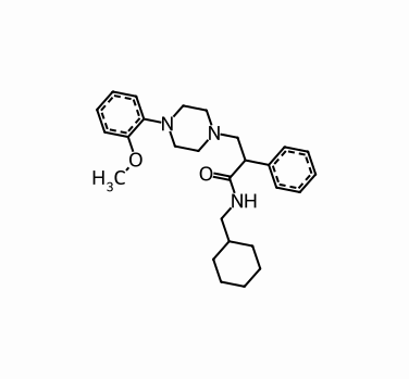 COc1ccccc1N1CCN(CC(C(=O)NCC2CCCCC2)c2ccccc2)CC1